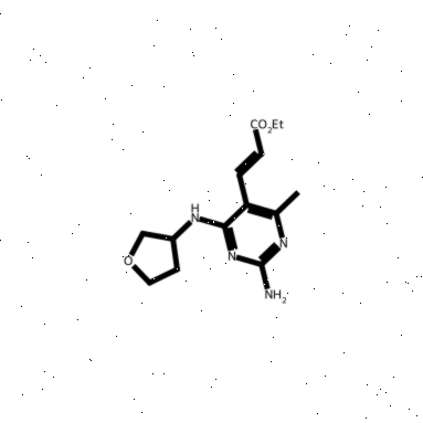 CCOC(=O)/C=C/c1c(C)nc(N)nc1NC1CCOC1